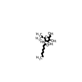 CCCCCCCC(=O)NC1[C@H](C(C)C)OC(CO)[C@@H](O)[C@@H]1O